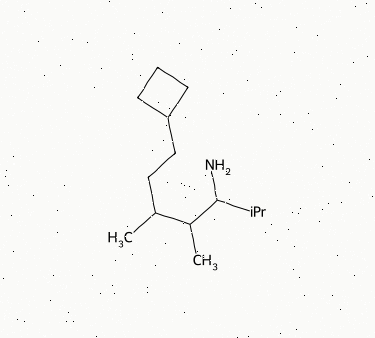 CC(C)C(N)C(C)C(C)CCC1CCC1